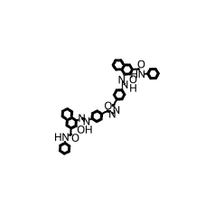 O=C(Nc1ccccc1)c1cc2ccccc2c(N=Nc2ccc(-c3nnc(-c4ccc(N=Nc5c(O)c(C(=O)Nc6ccccc6)cc6ccccc56)cc4)o3)cc2)c1O